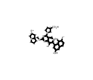 CCc1c(F)ccc2cc(O)cc(-c3ncc4c(N5CCC(C(=O)O)C5)nc(OC[C@@]56CCCN5C[C@H](F)C6)nc4c3F)c12